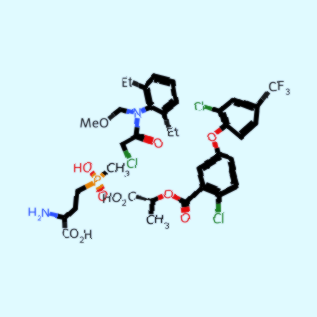 CCc1cccc(CC)c1N(COC)C(=O)CCl.CP(=O)(O)CCC(N)C(=O)O.C[C@H](OC(=O)c1cc(Oc2ccc(C(F)(F)F)cc2Cl)ccc1Cl)C(=O)O